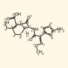 CO/N=C(\C(=O)N[C@@H]1C(=O)N2C(C(=O)O)=C(CS)CS[C@H]12)c1csc(N)n1